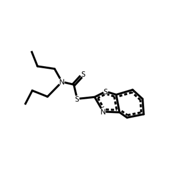 CCCN(CCC)C(=S)Sc1nc2ccccc2s1